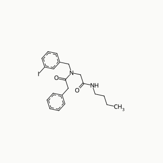 CCCCNC(=O)CN(Cc1cccc(I)c1)C(=O)Cc1ccccc1